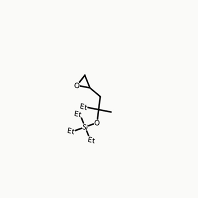 CCC(C)(CC1CO1)O[Si](CC)(CC)CC